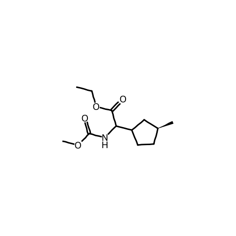 CCOC(=O)C(NC(=O)OC)C1CC[C@H](C)C1